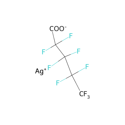 O=C([O-])C(F)(F)C(F)(F)C(F)(F)C(F)(F)F.[Ag+]